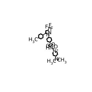 Cc1ccc(-c2cc(C(F)(F)F)nn2-c2ccc(S(=O)(=O)NC(=O)[n+]3ccc(N(C)C)cc3)cc2)cc1